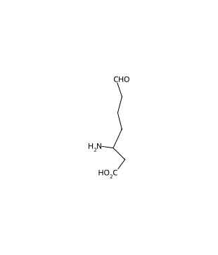 NC(CCCC=O)CC(=O)O